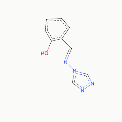 Oc1ccccc1C=Nn1cnnc1